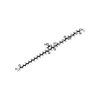 CC(=O)CCCCCCCCCCCCCCCCCCC(=O)N(CCC(=O)NCCOCCOCC(=O)NCCOCCOCC(C)=O)CC(=O)O